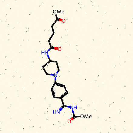 COC(=O)CCCC(=O)NC1CCN(c2ccc(C(=N)NC(=O)OC)cc2)CC1